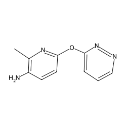 Cc1nc(Oc2cccnn2)ccc1N